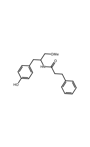 COCC(Cc1ccc(O)cc1)NC(=O)CCc1ccccc1